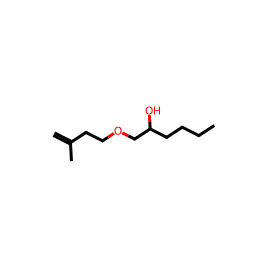 C=C(C)CCOCC(O)CCCC